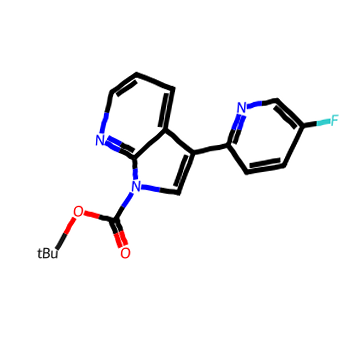 CC(C)(C)OC(=O)n1cc(-c2ccc(F)cn2)c2cccnc21